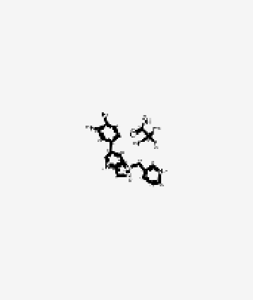 Fc1ccc(-c2cnc3cnn(Cc4cccnc4)c3c2)cc1F.O=C(O)C(F)(F)F